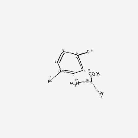 CC(=O)c1ccc(F)cc1.CC(C)[C@H](N)C(=O)O